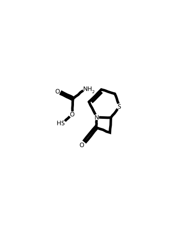 NC(=O)OS.O=C1CC2SCC=CN12